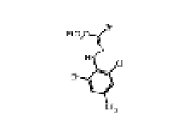 CCOC(=O)/C(Br)=N\Nc1c(Cl)cc(C(F)(F)F)cc1Cl